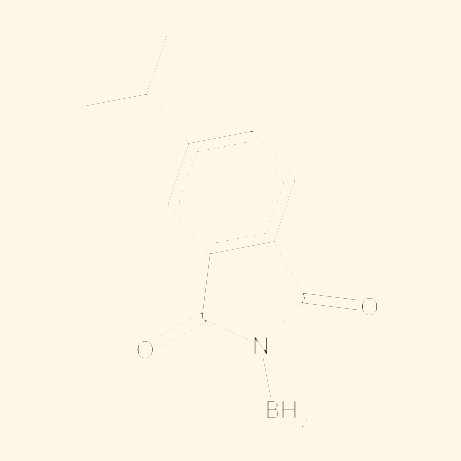 BN1C(=O)c2ccc(C(C)C)cc2C1=O